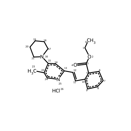 CCOC(=O)c1ccccc1C=Cc1cc(N2CCCCC2)c(C)cn1.Cl